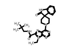 CCn1c(C(=O)NCC(C)(C)C)nc2c(N3CCC4(CC3)C(=O)Nc3ccccc34)ncnc21